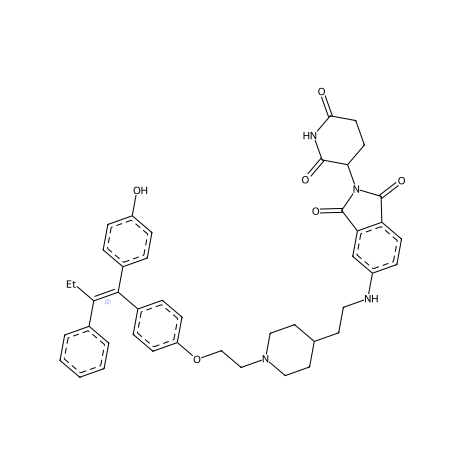 CC/C(=C(\c1ccc(O)cc1)c1ccc(OCCN2CCC(CCNc3ccc4c(c3)C(=O)N(C3CCC(=O)NC3=O)C4=O)CC2)cc1)c1ccccc1